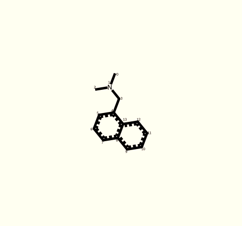 CN(C)[CH]c1cccc2ccccc12